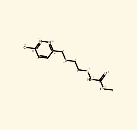 CNC(=O)NSCCSCc1ccc(Cl)nn1